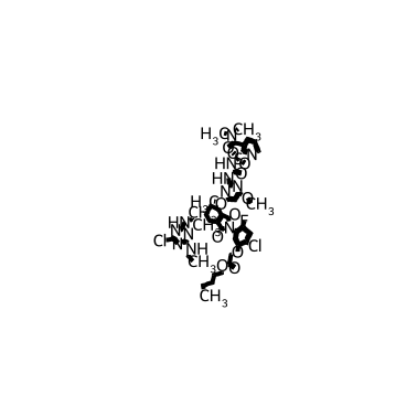 CCCCCOC(=O)COc1cc(N2C(=O)C3=C(CCCC3)C2=O)c(F)cc1Cl.CCNc1nc(Cl)nc(NC(C)C)n1.COc1cc(OC)nc(NC(=O)NS(=O)(=O)c2ncccc2C(=O)N(C)C)n1